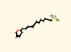 CC[S+](CC)CCCCCCCCCCC1CCCCO1